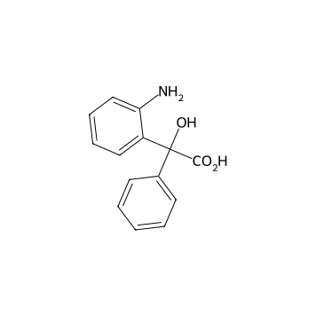 Nc1ccccc1C(O)(C(=O)O)c1ccccc1